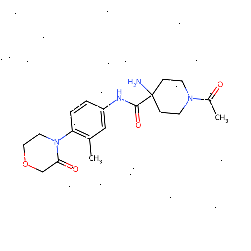 CC(=O)N1CCC(N)(C(=O)Nc2ccc(N3CCOCC3=O)c(C)c2)CC1